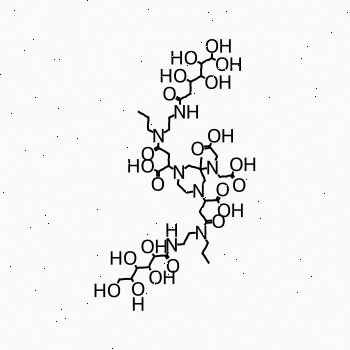 CCCN(CCNC(=O)CC(O)C(O)C(O)C(O)O)C(=O)CC(C(=O)O)N1CCN(C(CC(=O)N(CCC)CCNC(=O)C(O)C(O)C(O)C(O)CO)C(=O)O)CC(C)(N(CC(=O)O)CC(=O)O)C1